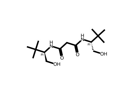 CC(C)(C)[C@H](CO)NC(=O)CC(=O)N[C@@H](CO)C(C)(C)C